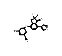 N#Cc1cc(F)cc(Oc2ccc(-c3ccsc3)c3c2CC(F)(F)C3=O)c1